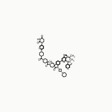 CC(C)n1cnc2cc(-c3ccc4c(c3)N([C@H]3C[C@@H](N5CCCCC5)C3)C(=O)C43CCN(C(=O)C4(C)CCN(C(=O)C5CCN(c6ccc(N7CCC(=O)NC7=O)cn6)CC5)CC4)CC3)nc(Nc3ccncc3F)c21